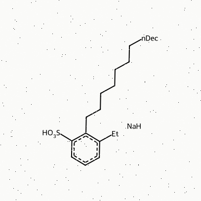 CCCCCCCCCCCCCCCCCc1c(CC)cccc1S(=O)(=O)O.[NaH]